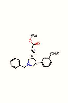 COc1cccc([C@H]2CN(Cc3ccccc3)C[C@@H]2/C=C/C(=O)OC(C)(C)C)c1